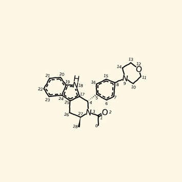 CC(=O)N1[C@@H](c2ccc(N3CCOCC3)cc2)c2[nH]c3ccccc3c2C[C@@H]1C